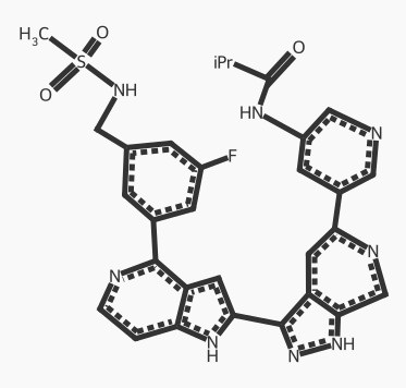 CC(C)C(=O)Nc1cncc(-c2cc3c(-c4cc5c(-c6cc(F)cc(CNS(C)(=O)=O)c6)nccc5[nH]4)n[nH]c3cn2)c1